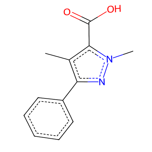 Cc1c(-c2ccccc2)nn(C)c1C(=O)O